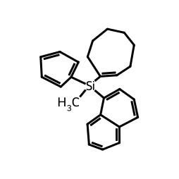 C[Si](C1=CCCCCCC1)(c1ccccc1)c1cccc2ccccc12